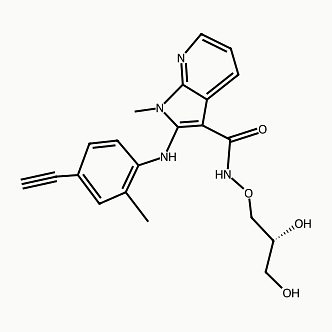 C#Cc1ccc(Nc2c(C(=O)NOC[C@H](O)CO)c3cccnc3n2C)c(C)c1